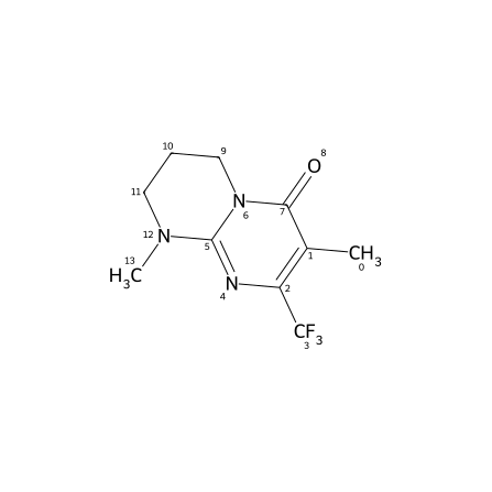 Cc1c(C(F)(F)F)nc2n(c1=O)CCCN2C